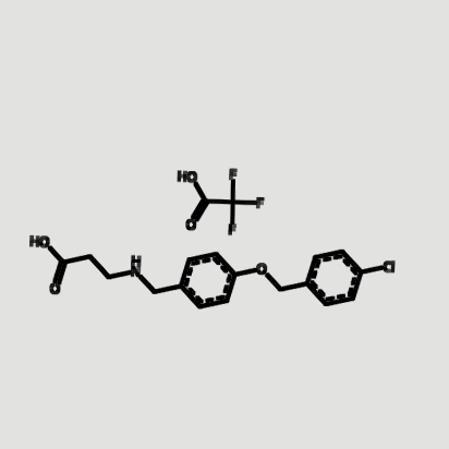 O=C(O)C(F)(F)F.O=C(O)CCNCc1ccc(OCc2ccc(Cl)cc2)cc1